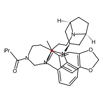 Cc1nc2ccccc2n1[C@H]1C[C@H]2CC[C@@H](C1)N2CCC1(c2ccc3c(c2)OCO3)CCN(C(=O)C(C)C)CC1